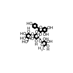 C[C@@H]1O[C@@H](OC[C@H]2O[C@@H](Oc3c(-c4ccc(O)cc4)oc4cc(O)cc(O)c4c3=O)[C@H](O[C@@H]3O[C@H](CO)[C@@H](O)[C@H](O)[C@H]3O)[C@@H](O)[C@@H]2O)[C@H](O)[C@H](O)[C@H]1O